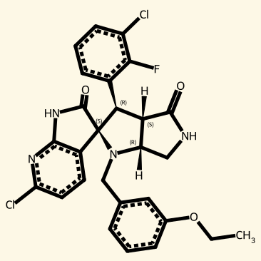 CCOc1cccc(CN2[C@H]3CNC(=O)[C@H]3[C@H](c3cccc(Cl)c3F)[C@]23C(=O)Nc2nc(Cl)ccc23)c1